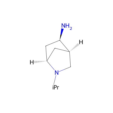 CC(C)N1C[C@H]2C[C@@H]1C[C@H]2N